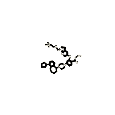 CC(C)(C)OC(=O)c1ccc(N2CCN(C3CCCCc4c(C5=CCCC5)cccc43)CC2)cc1Oc1cnc2c(ccn2COCC[Si](C)(C)C)c1